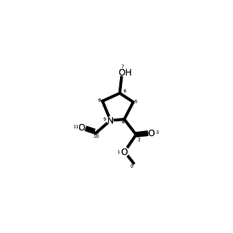 COC(=O)C1CC(O)CN1[C]=O